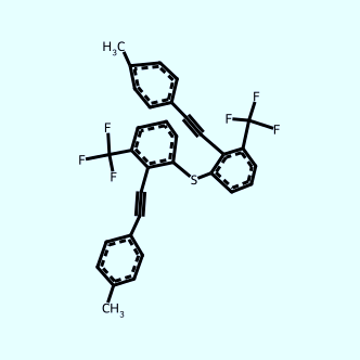 Cc1ccc(C#Cc2c(Sc3cccc(C(F)(F)F)c3C#Cc3ccc(C)cc3)cccc2C(F)(F)F)cc1